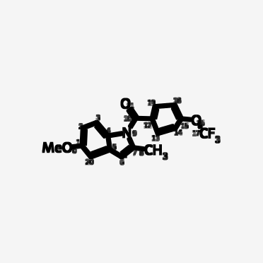 COc1ccc2c([c]c(C)n2C(=O)c2ccc(OC(F)(F)F)cc2)c1